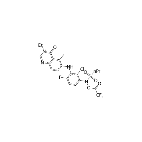 CCCS(=O)(=O)N(OC(=O)C(F)(F)F)c1ccc(F)c(Nc2ccc3ncn(CC)c(=O)c3c2C)c1Cl